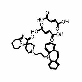 O=C(O)C=CC(=O)O.O=C(O)C=CC(=O)O.O=C1N=C2CCCCN2C12CCN(CCCN1c3ccccc3C=Cc3ccccc31)CC2